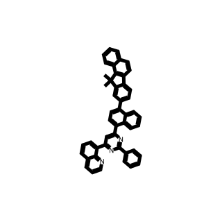 CC1(C)c2cc(-c3ccc(-c4cc(-c5cccc6cccnc56)nc(-c5ccccc5)n4)c4ccccc34)ccc2-c2ccc3ccccc3c21